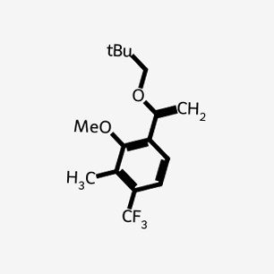 C=C(OCC(C)(C)C)c1ccc(C(F)(F)F)c(C)c1OC